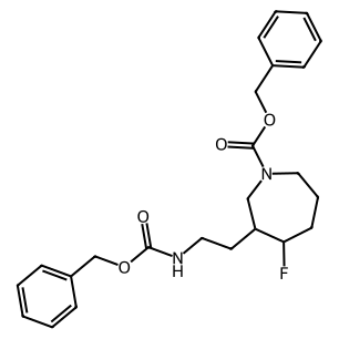 O=C(NCCC1CN(C(=O)OCc2ccccc2)CCCC1F)OCc1ccccc1